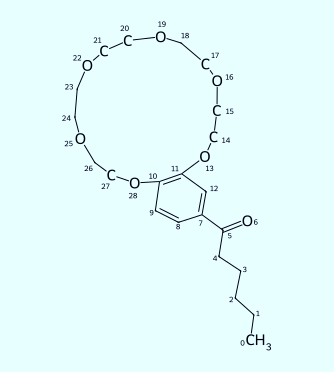 CCCCCC(=O)c1ccc2c(c1)OCCOCCOCCOCCOCCO2